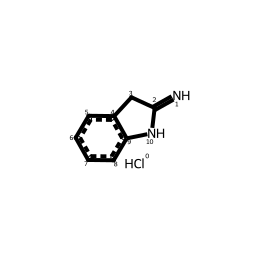 Cl.N=C1Cc2ccccc2N1